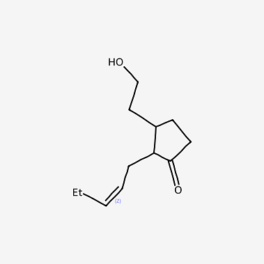 CC/C=C\CC1C(=O)CCC1CCO